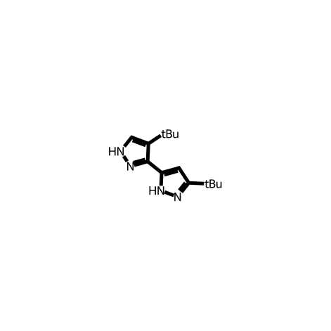 CC(C)(C)c1cc(-c2n[nH]cc2C(C)(C)C)[nH]n1